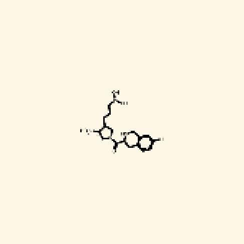 O=C(O)[C@@H]1CN(C(=O)C2Cc3ccc(Cl)cc3CN2)CC1CCCB(O)O